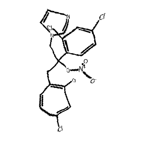 O=[N+]([O-])OC(Cc1ccc(Cl)cc1Cl)(Cn1ccnc1)c1ccc(Cl)cc1Cl